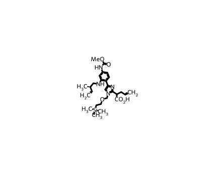 C=CCC(C(=O)O)c1nc(-c2ccc(NC(=O)OC)cc2NC[C@H](C)C=C)cn1COCC[Si](C)(C)C